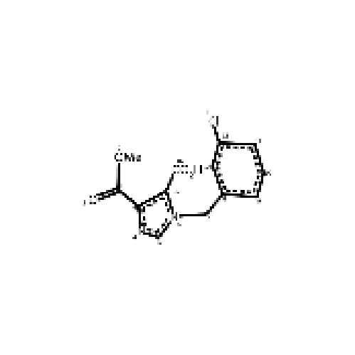 COC(=O)c1ncn(Cc2cccc(Cl)c2)c1C(=O)O